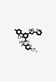 Cc1ccc(-c2cc(C(=O)N[C@H](C)c3ccc(C(F)(F)F)nc3)cc(C3=NOC(c4ccccn4)C3)c2)c(C#N)c1